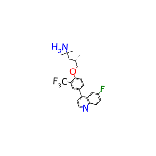 C[C@H](COc1ccc(-c2ccnc3ccc(F)cc23)cc1C(F)(F)F)CC(C)(C)N